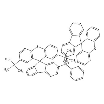 CC(C)(C)c1ccc2c(c1)C1(c3cc(C(C)(C)C)ccc3S2)c2ccccc2-c2ccc(N(c3ccccc3)c3ccc4c(c3)C3(c5ccccc5Sc5ccccc53)c3ccccc3-4)cc21